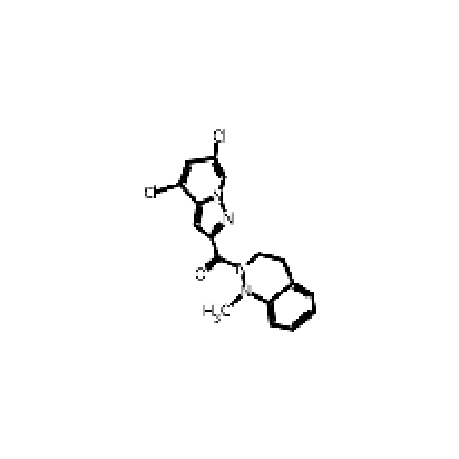 CN1c2ccccc2CCN1C(=O)c1cc2c(Cl)cc(Cl)cn2n1